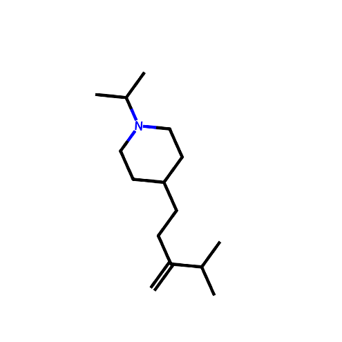 C=C(CCC1CCN(C(C)C)CC1)C(C)C